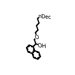 CCCCCCCCCCCCCCCOCC(O)c1cccc2ccccc12